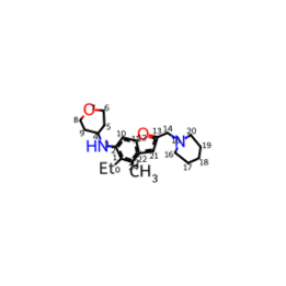 CCc1c(NC2CCOCC2)cc2oc(CN3CCCCC3)cc2c1C